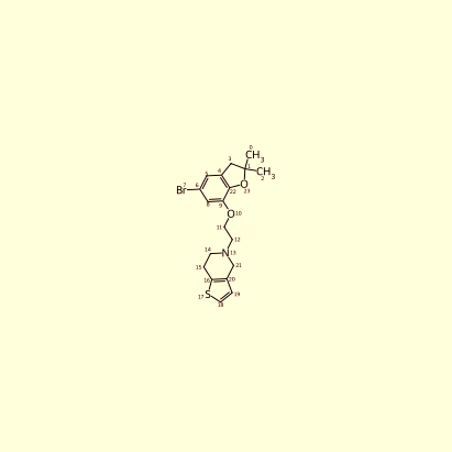 CC1(C)Cc2cc(Br)cc(OCCN3CCc4sccc4C3)c2O1